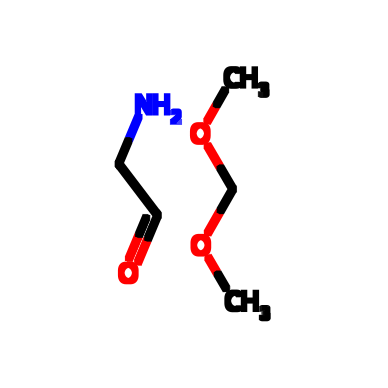 COCOC.NCC=O